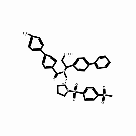 CS(=O)(=O)c1ccc(S(=O)(=O)N2CCC[C@@H]2CN(C(=O)c2ccc(-c3ccc(C(F)(F)F)cc3)cc2)C(CC(=O)O)c2ccc(-c3ccccc3)cc2)cc1